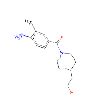 Cc1cc(C(=O)N2CCC(CCO)CC2)ccc1N